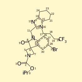 CC(C)OC(=O)N1CC2(C1)C(=O)N(Cc1nc3c(n1CCCC(F)(F)F)CCCC3)c1ccc(Br)cc12